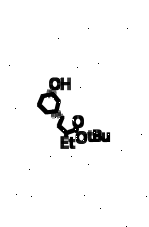 CCC(CC[C@@H]1CCC[C@H](O)C1)C(=O)OC(C)(C)C